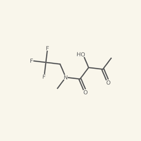 CC(=O)C(O)C(=O)N(C)CC(F)(F)F